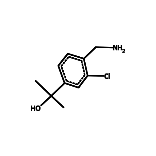 CC(C)(O)c1ccc(CN)c(Cl)c1